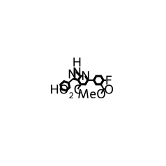 COC(=O)c1cc(-c2cc(C(=O)O)c3c(-c4ccccc4)n[nH]c3n2)ccc1F